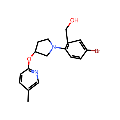 Cc1ccc(O[C@H]2CCN(c3ccc(Br)cc3CO)C2)nc1